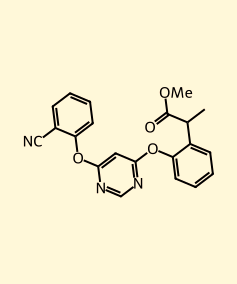 COC(=O)C(C)c1ccccc1Oc1cc(Oc2ccccc2C#N)ncn1